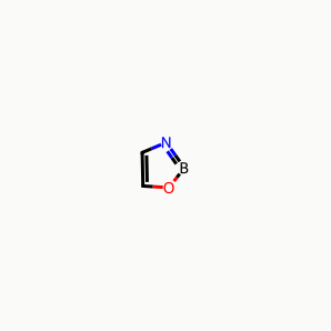 b1ncco1